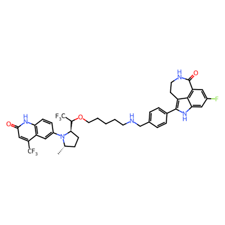 C[C@H]1CC[C@H](C(OCCCCCNCc2ccc(-c3[nH]c4cc(F)cc5c4c3CCNC5=O)cc2)C(F)(F)F)N1c1ccc2[nH]c(=O)cc(C(F)(F)F)c2c1